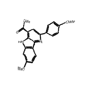 COC(=O)c1cc(-c2ccc(OC)cc2)nc2c1[nH]c1cc(OC)ccc12